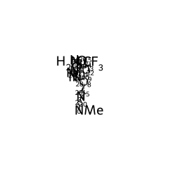 CNC1CC(N2CC(c3ccc(-c4ccc(C(F)(F)F)c(S(N)(=O)=O)c4-c4nnn[nH]4)cc3)C2)C1